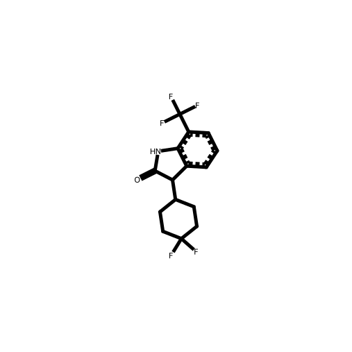 O=C1Nc2c(cccc2C(F)(F)F)C1C1CCC(F)(F)CC1